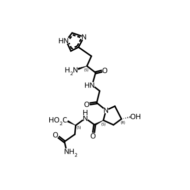 NC(=O)C[C@H](NC(=O)[C@@H]1C[C@@H](O)CN1C(=O)CNC(=O)[C@@H](N)Cc1c[nH]cn1)C(=O)O